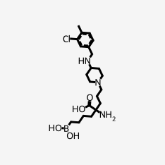 Cc1ccc(CNC2CCN(CCCC(N)(CCCCB(O)O)C(=O)O)CC2)cc1Cl